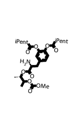 CCCC(C)C(=O)Oc1ccc(C[C@H](N)C(=O)O[C@@H](C)C(C)OC(=O)OC)cc1OC(=O)C(C)CCC